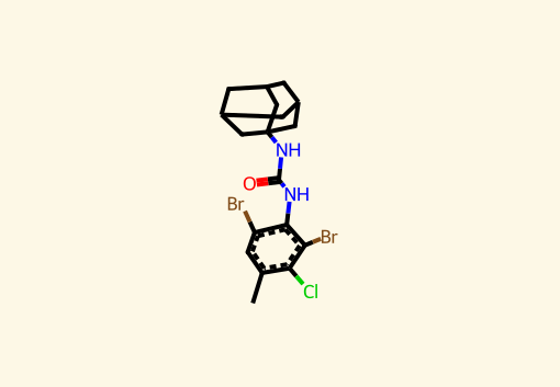 Cc1cc(Br)c(NC(=O)NC23CC4CC(CC(C4)C2)C3)c(Br)c1Cl